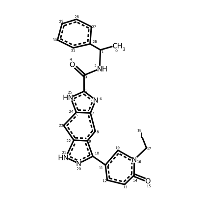 CC(NC(=O)c1nc2cc3c(-c4ccc(=O)n(CI)c4)n[nH]c3cc2[nH]1)c1ccccc1